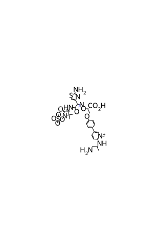 CC(CN)Nc1ccc(-c2ccc(OCC(O/N=C(\C(=O)N[C@@H]3C(=O)N(OS(=O)(=O)[O-])C3(C)C)c3csc(N)n3)C(=O)O)cc2)c[n+]1C